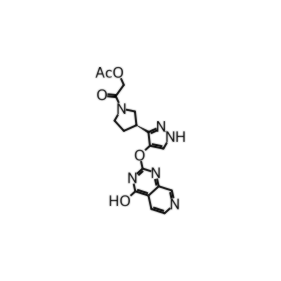 CC(=O)OCC(=O)N1CC[C@H](c2n[nH]cc2Oc2nc(O)c3ccncc3n2)C1